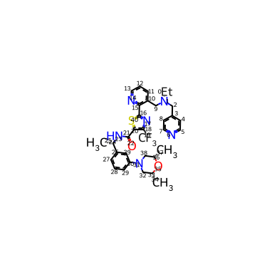 CCN(Cc1ccncc1)Cc1cccnc1-c1nc(C(F)(F)F)c(C(=O)N[C@@H](C)c2cccc(N3C[C@@H](C)O[C@@H](C)C3)c2)s1